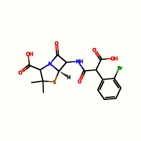 CC1(C)S[C@@H]2C(NC(=O)C(C(=O)O)c3ccccc3Br)C(=O)N2C1C(=O)O